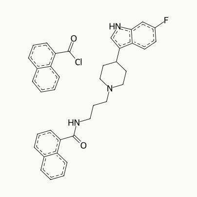 O=C(Cl)c1cccc2ccccc12.O=C(NCCCN1CCC(c2c[nH]c3cc(F)ccc23)CC1)c1cccc2ccccc12